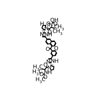 COC(=O)NC(C(=O)N1CCC[C@H]1c1ncc(-c2ccc3oc4ccc5cc(-c6cnc([C@@H]7CCCN7C(=O)C(C(C)C)N(C)C(=O)O)[nH]6)ccc5c4c(=O)c3c2)[nH]1)C(C)C